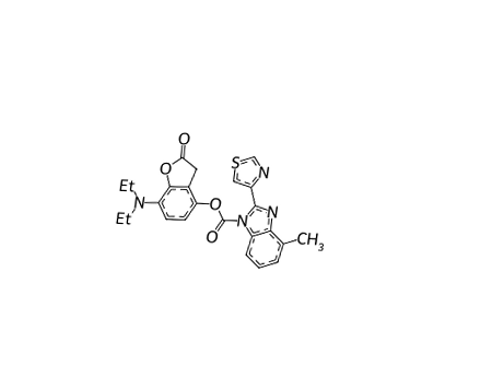 CCN(CC)c1ccc(OC(=O)n2c(-c3cscn3)nc3c(C)cccc32)c2c1OC(=O)C2